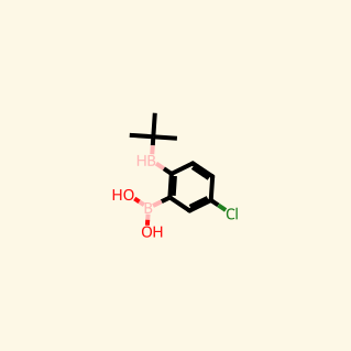 CC(C)(C)Bc1ccc(Cl)cc1B(O)O